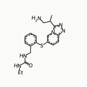 CCNC(=O)NCc1ccccc1Sc1ccc2nnc(C(C)CN)n2c1